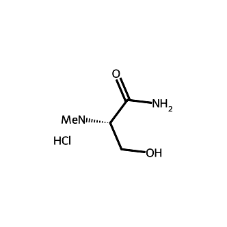 CN[C@@H](CO)C(N)=O.Cl